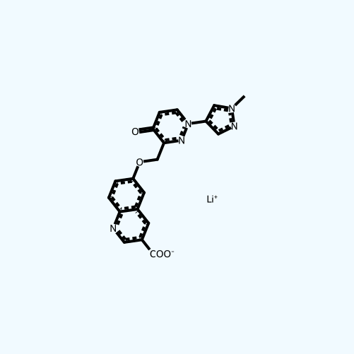 Cn1cc(-n2ccc(=O)c(COc3ccc4ncc(C(=O)[O-])cc4c3)n2)cn1.[Li+]